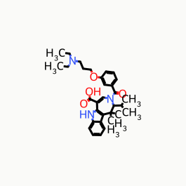 CCN(CC)CCCOc1cccc(C(=O)N2C=C(C(=O)O)c3[nH]c4ccccc4c3C(C)(C)C2C(C)C)c1